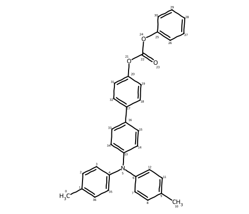 Cc1ccc(N(c2ccc(C)cc2)c2ccc(-c3ccc(OC(=O)Oc4ccccc4)cc3)cc2)cc1